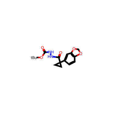 CC(C)(C)OC(=O)NNC(=O)C1(c2ccc3c(c2)OCO3)CC1